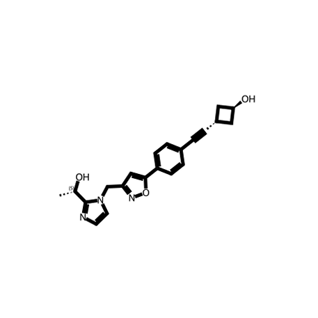 C[C@H](O)c1nccn1Cc1cc(-c2ccc(C#C[C@H]3C[C@H](O)C3)cc2)on1